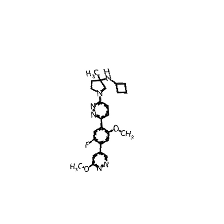 COc1cc(-c2cc(OC)c(-c3ccc(N4CCC(C)(NC5CCC5)C4)nn3)cc2F)cnn1